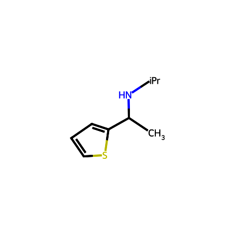 CC(C)NC(C)c1cccs1